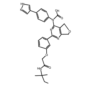 CCC(C)(C)NC(=O)COc1cccc(-c2nc3c(c(N(C(=O)O)c4ccc(-c5cn[nH]c5)cc4)n2)COC3)c1